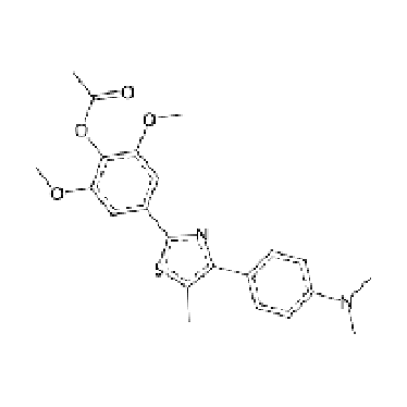 COc1cc(-c2nc(-c3ccc(N(C)C)cc3)c(C)s2)cc(OC)c1OC(C)=O